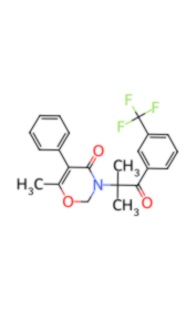 CC1=C(c2ccccc2)C(=O)N(C(C)(C)C(=O)c2cccc(C(F)(F)F)c2)CO1